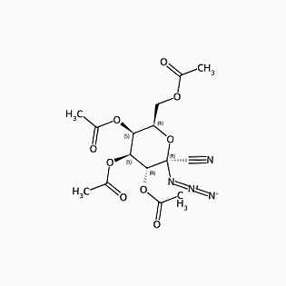 CC(=O)OC[C@H]1O[C@@](C#N)(N=[N+]=[N-])[C@H](OC(C)=O)[C@@H](OC(C)=O)[C@H]1OC(C)=O